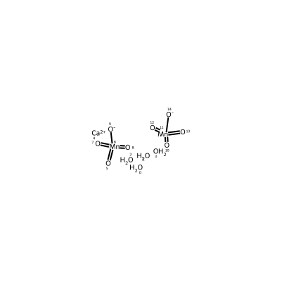 O.O.O.O.[Ca+2].[O]=[Mn](=[O])(=[O])[O-].[O]=[Mn](=[O])(=[O])[O-]